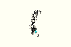 CCCC1CCC(C2CCC(C3CCc4cc(C(F)(F)F)c(F)cc4C3)CC2)CC1